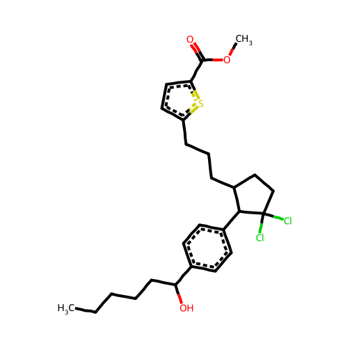 CCCCCC(O)c1ccc(C2C(CCCc3ccc(C(=O)OC)s3)CCC2(Cl)Cl)cc1